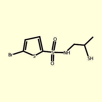 CC(S)CNS(=O)(=O)c1ccc(Br)s1